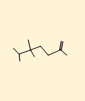 C=C(CCC(C)(C)C(O)C(C)C)C(=O)O